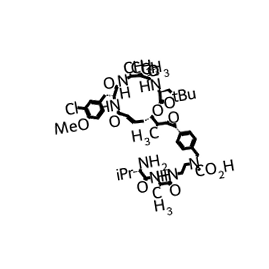 COc1ccc(C[C@H]2NC(=O)/C=C/C[C@@H]([C@H](C)[C@H]3O[C@@H]3c3ccc(CN(CCNC(=O)[C@H](C)NC(=O)[C@@H](N)C(C)C)C(=O)O)cc3)OC(=O)[C@H](CC(C)(C)C)NC(=O)C(C)(C)[C@H](C)NC2=O)cc1Cl